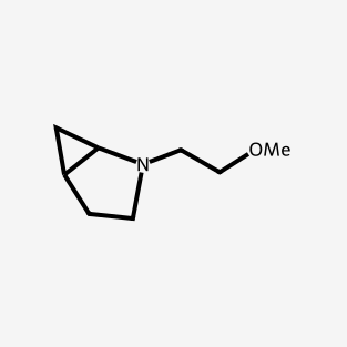 COCCN1CCC2CC21